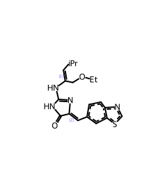 CCOC/C(=C\C(C)C)NC1=N/C(=C\c2ccc3ncsc3c2)C(=O)N1